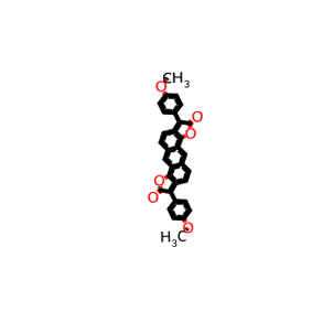 COc1ccc(C2=c3ccc4cc5c6c(ccc5cc4c3OC2=O)=C(c2ccc(OC)cc2)C(=O)O6)cc1